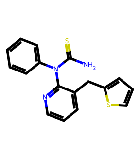 NC(=S)N(c1ccccc1)c1ncccc1Cc1cccs1